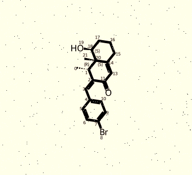 C[C@H]1C(=Cc2ccc(Br)cc2)C(=O)C=C2CCC[C@H](O)[C@]21C